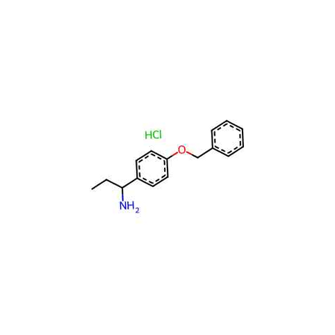 CCC(N)c1ccc(OCc2ccccc2)cc1.Cl